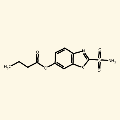 CCCC(=O)Oc1ccc2nc(S(N)(=O)=O)sc2c1